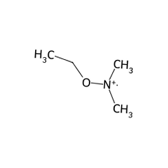 CCO[N+](C)C